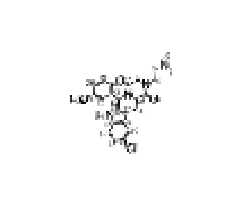 CN(C)CCN1CC(=O)N2C(Cc3c([nH]c4ccc(Cl)cc34)C2c2cccc(O)c2)C1=O